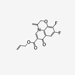 C=CCOC(=O)c1cn2c3c(c(F)c(F)cc3c1=O)OCC2=C